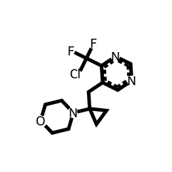 FC(F)(Cl)c1ncncc1CC1(N2CCOCC2)CC1